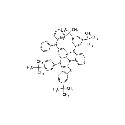 CC(C)(C)c1ccc(N2c3cc(N(c4ccccc4)c4ccccc4)cc4c3B(c3ccccc3N4c3cc(C(C)(C)C)cc(C(C)(C)C)c3)c3sc4cc(C(C)(C)C)ccc4c32)cc1